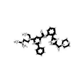 CCN(CCN(C)C)c1cc(C(=O)Nc2ccccc2-c2nnc(C(=O)N3CCOCC3)s2)nc(-c2ccccc2)n1